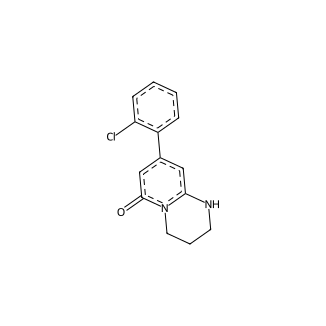 O=c1cc(-c2ccccc2Cl)cc2n1CCCN2